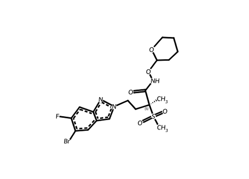 C[C@](CCn1cc2cc(Br)c(F)cc2n1)(C(=O)NOC1CCCCO1)S(C)(=O)=O